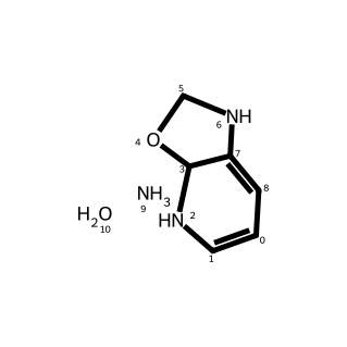 C1=CNC2OCNC2=C1.N.O